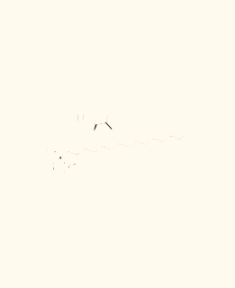 C=C(C)C(=O)O.CCCCCCCCCCCCCCCC(Cl)(CC)N(C)C